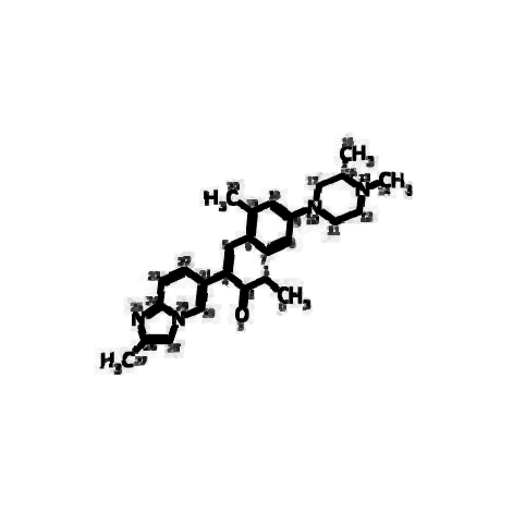 CCC(=O)/C(=C\c1ccc(N2CCN(C)[C@@H](C)C2)cc1C)c1ccc2nc(C)cn2c1